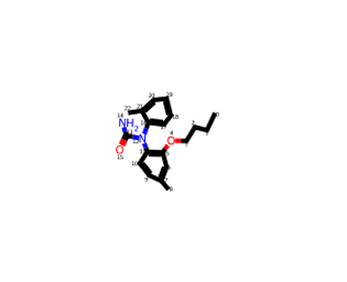 CCCCOc1cc(C)ccc1N(C(N)=O)c1ccccc1C